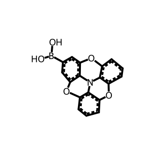 OB(O)c1cc2c3c(c1)Oc1cccc4c1N3c1c(cccc1O2)O4